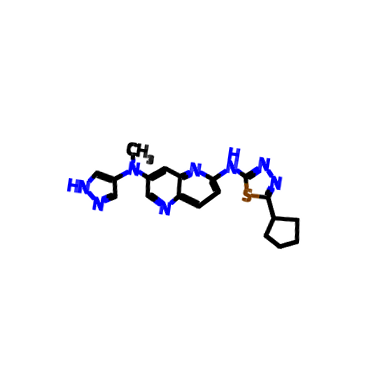 CN(c1cn[nH]c1)c1cnc2ccc(Nc3nnc(C4CCCC4)s3)nc2c1